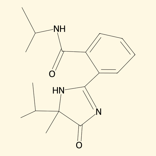 CC(C)NC(=O)c1ccccc1C1=NC(=O)C(C)(C(C)C)N1